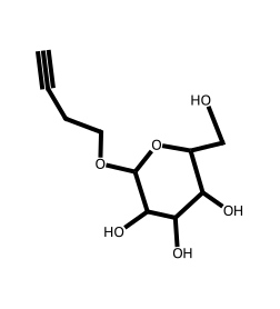 C#CCCOC1OC(CO)C(O)C(O)C1O